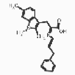 Cc1ccc2c(CC(=NC=CCc3ccccc3)C(=O)O)c(C)n(C)c2c1